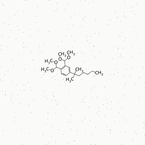 CCCCCC(C)(C)c1ccc(C(OC)OC)c(C(OC)OC)c1